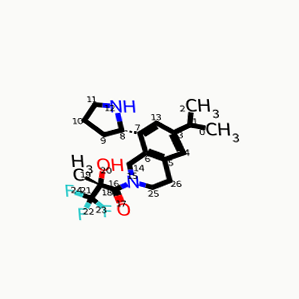 CC(C)c1cc2c(c([C@@H]3CCCN3)c1)CN(C(=O)[C@@](C)(O)C(F)(F)F)CC2